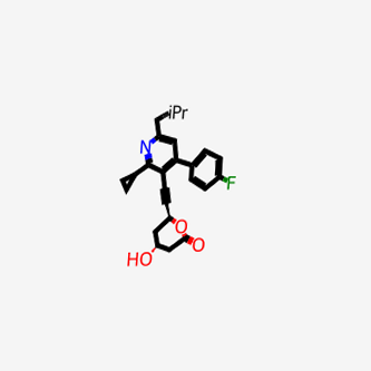 CC(C)Cc1cc(-c2ccc(F)cc2)c(C#C[C@@H]2C[C@@H](O)CC(=O)O2)c(C2CC2)n1